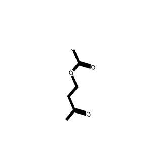 [CH2]C(=O)OCCC(C)=O